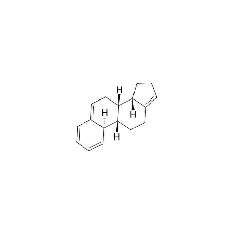 C1=CC2=CC[C@H]3[C@H](CCC4=CCC[C@H]43)[C@H]2C=C1